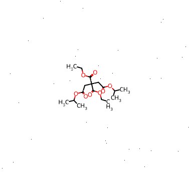 CCOC(=O)C(CC(=O)OC(C)C)(CC(=O)OC(C)C)C(=O)OCC